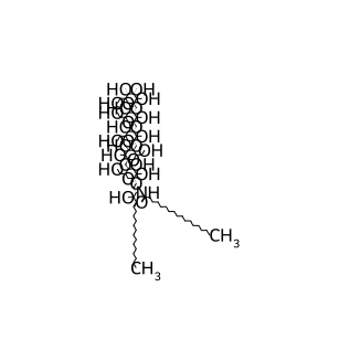 CCCCCCCCCCCCC/C=C/[C@@H](O)[C@H](CO[C@@H]1OC(CO)[C@@H](O[C@@H]2OC(CO)[C@H](O[C@@H]3OC(CO)[C@H](O)[C@H](O[C@H]4OC(CO)[C@H](O)[C@H](O[C@H]5OC(CO)[C@H](O)[C@H](O)C5O)C4O)C3O)[C@H](O)C2O)[C@H](O)C1O)NC(=O)CCCCCCCCCCCCCCCCC